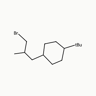 CC(CBr)CC1CCC(C(C)(C)C)CC1